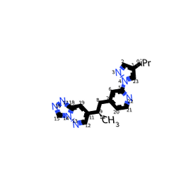 CC(C)c1cnn(-c2cc(C[C@H](C)c3cnn4cnnc4c3)ccn2)c1